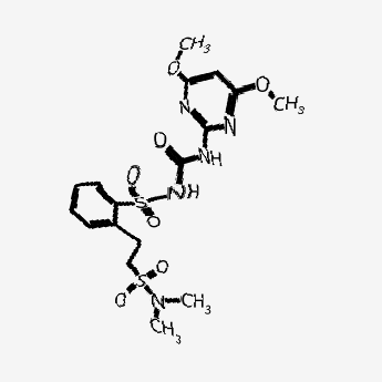 COc1cc(OC)nc(NC(=O)NS(=O)(=O)c2ccccc2CCS(=O)(=O)N(C)C)n1